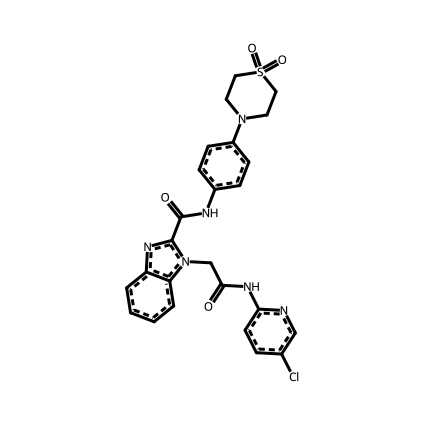 O=C(Cn1c(C(=O)Nc2ccc(N3CCS(=O)(=O)CC3)cc2)nc2ccccc21)Nc1ccc(Cl)cn1